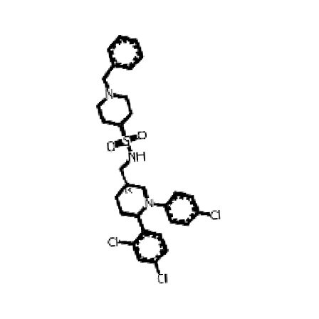 O=S(=O)(NC[C@@H]1CCC(c2ccc(Cl)cc2Cl)N(c2ccc(Cl)cc2)C1)C1CCN(Cc2ccccc2)CC1